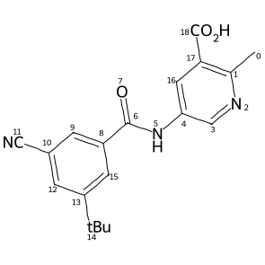 Cc1ncc(NC(=O)c2cc(C#N)cc(C(C)(C)C)c2)cc1C(=O)O